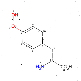 NC(Cc1ccc(OO)cc1)C(=O)O